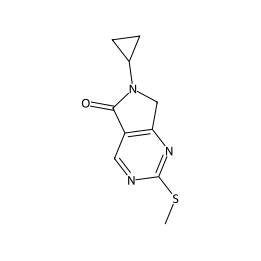 CSc1ncc2c(n1)CN(C1CC1)C2=O